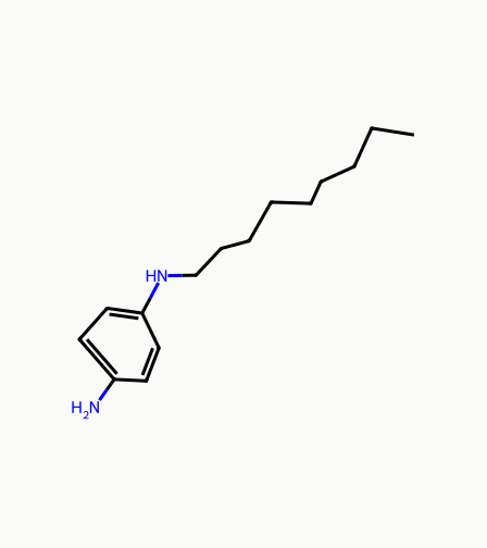 CCCCCCCCCNc1ccc(N)cc1